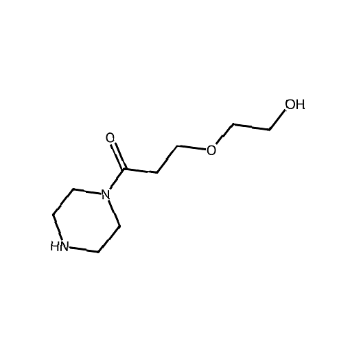 O=C(CCOCCO)N1CCNCC1